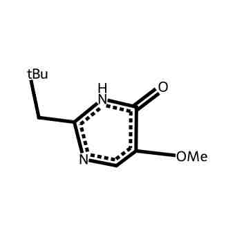 COc1cnc(CC(C)(C)C)[nH]c1=O